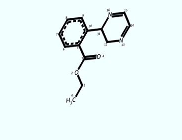 CCOC(=O)c1ccccc1C1CN=CC=N1